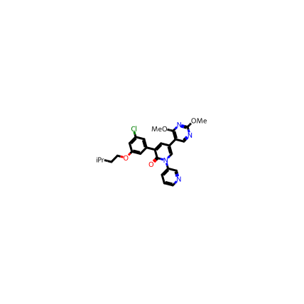 COc1ncc(-c2cc(-c3cc(Cl)cc(OCCC(C)C)c3)c(=O)n(-c3cccnc3)c2)c(OC)n1